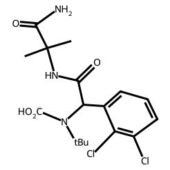 CC(C)(NC(=O)C(c1cccc(Cl)c1Cl)N(C(=O)O)C(C)(C)C)C(N)=O